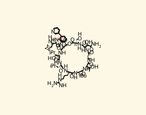 CC[C@H](C)C1NC(=O)[C@@H](CCCNC(=N)N)NC(=O)[C@H](CC(C)C)NC(=O)[C@H]([C@H](O)C(C)C)NC(=O)[C@@H](NC(=O)[C@H](Cc2cccnc2)NC(=O)[C@H](N)C[Si](C)(C)C)[C@@H](c2ccccc2)OC(=O)[C@H](CO)NC(=O)[C@H]([C@H](O)C(N)=O)NC(=O)CNC(=O)C([C@H](C)O)NC1=O